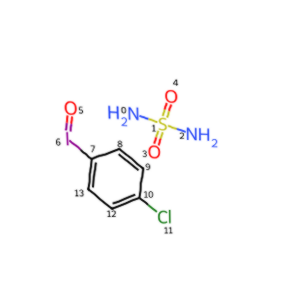 NS(N)(=O)=O.O=Ic1ccc(Cl)cc1